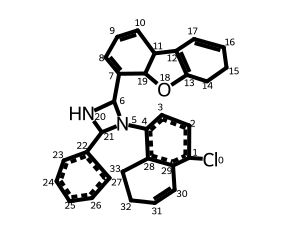 Clc1ccc(N2C(C3=CC=CC4C5=C(CCC=C5)OC34)NC2c2ccccc2)c2c1C=CCC2